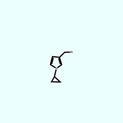 CC(C)Cc1ccn(C2CC2)c1